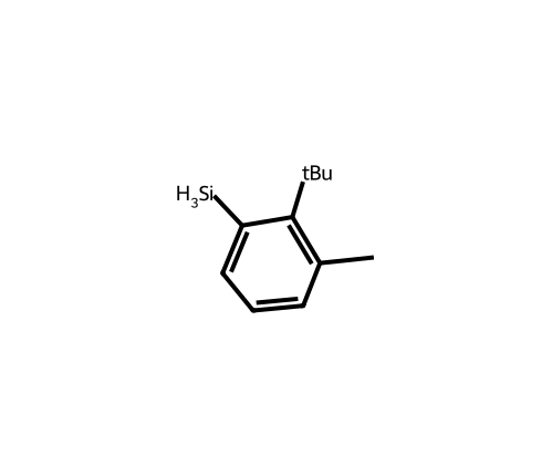 Cc1cccc([SiH3])c1C(C)(C)C